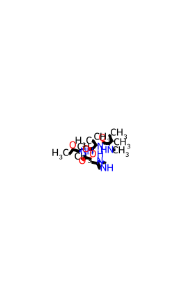 CCC(=O)C(C)(C)NC(=O)[C@H](Cc1c[nH]cn1)OC(=O)[C@@H](NC(=O)[C@@H](NC)[C@@H](C)CC)C(C)C